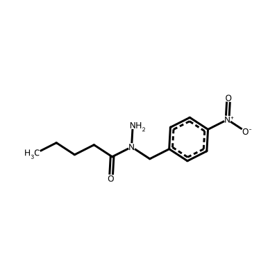 CCCCC(=O)N(N)Cc1ccc([N+](=O)[O-])cc1